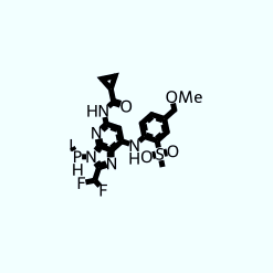 COCc1ccc(Nc2cc(NC(=O)C3CC3)nc3c2nc(C(F)F)n3PI)c(S(C)(=O)=O)c1